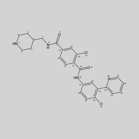 O=C(NCC1CCNCC1)c1ccc(C(=O)Nc2ccc(Cl)c(-c3ccccn3)c2)c(Cl)c1